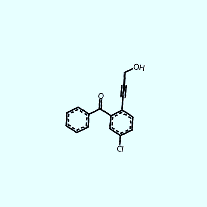 O=C(c1ccccc1)c1cc(Cl)ccc1C#CCO